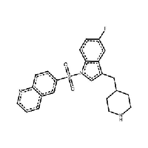 O=S(=O)(c1ccc2ncccc2c1)n1cc(CC2CCNCC2)c2cc(F)ccc21